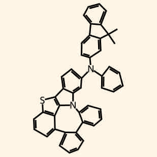 CC1(C)c2ccccc2-c2ccc(N(c3ccccc3)c3ccc4c5sc6cccc7c8ccccc8c8ccccc8n(c4c3)c5c67)cc21